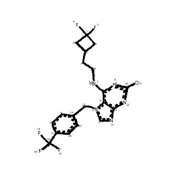 FC1(F)CC(CCNc2nc(Cl)nc3ncn(Cc4ccc(C(F)(F)F)cc4)c23)C1